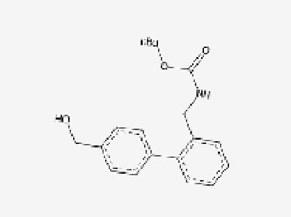 CCCCOC(=O)NCc1ccccc1-c1ccc(CO)cc1